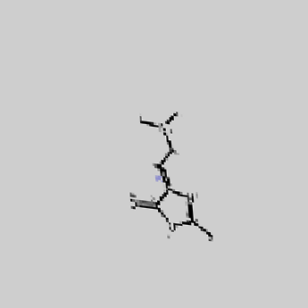 CC1=N/C(=C\CN(C)C)C(=O)O1